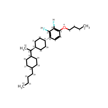 CCCCOc1ccc([C@H]2CC[C@H](C(C)C3CCC(CCCC)CC3)CC2)c(F)c1F